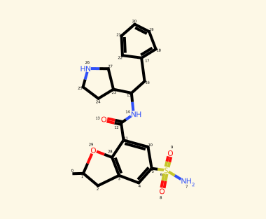 CC1Cc2cc(S(N)(=O)=O)cc(C(=O)NC(Cc3ccccc3)C3CCNC3)c2O1